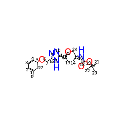 CC1=CC=CC(OCc2nnc([C@@H]3CCC(NC(=O)OC(C)(C)C)CO3)[nH]2)C1